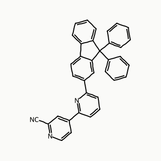 N#Cc1cc(-c2cccc(-c3ccc4c(c3)C(c3ccccc3)(c3ccccc3)c3ccccc3-4)n2)ccn1